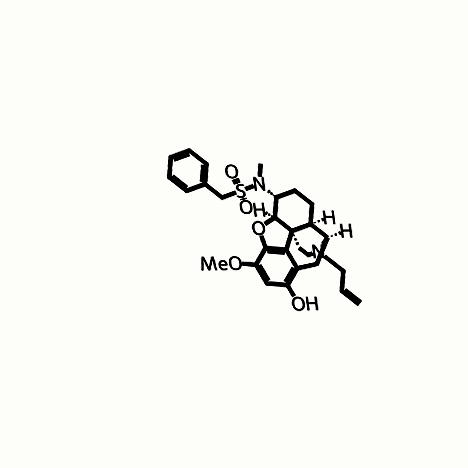 C=CCN1CC[C@]23c4c5c(O)cc(OC)c4O[C@H]2[C@H](N(C)S(=O)(=O)Cc2ccccc2)CC[C@H]3[C@H]1C5